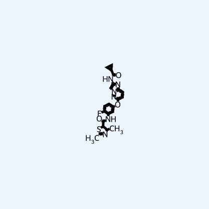 CC1=NC(C)C(C(=O)Nc2cc(Oc3ccc4nc(NC(=O)C5CC5)cn4n3)ccc2F)S1